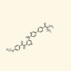 COc1ccc(C(=O)Nc2cncc(Nc3ccc(-c4ccc(C(=O)N(C)C)cc4)cn3)c2)cc1